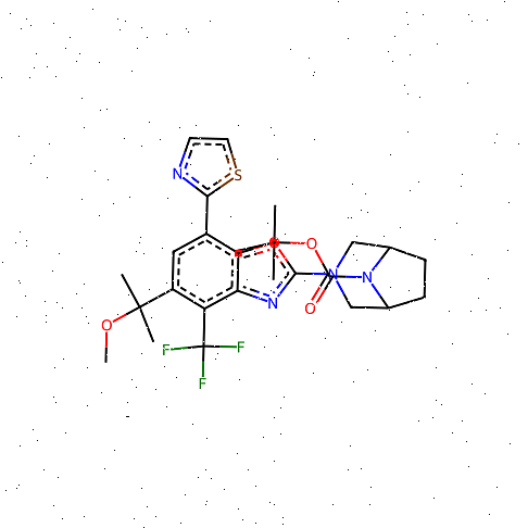 COC(C)(C)c1cc(-c2nccs2)c2oc(N3CC4CCC(C3)N4C(=O)OC(C)(C)C)nc2c1C(F)(F)F